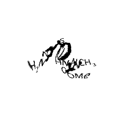 COC(=O)c1cn(C)nc1Nc1ccc2scc(-c3ccnc(CN)c3)c2n1